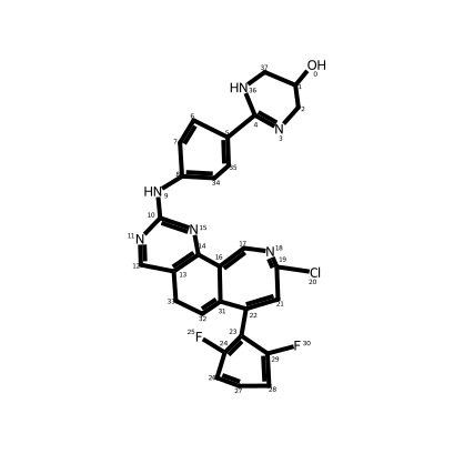 OC1CN=C(c2ccc(Nc3ncc4c(n3)C3=CN=C(Cl)C=C(c5c(F)cccc5F)C3=CC4)cc2)NC1